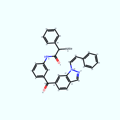 CNC(C(=O)Nc1cccc(C(=O)c2ccc3cnn(C=Cc4ccccc4)c3c2)c1)c1ccccc1